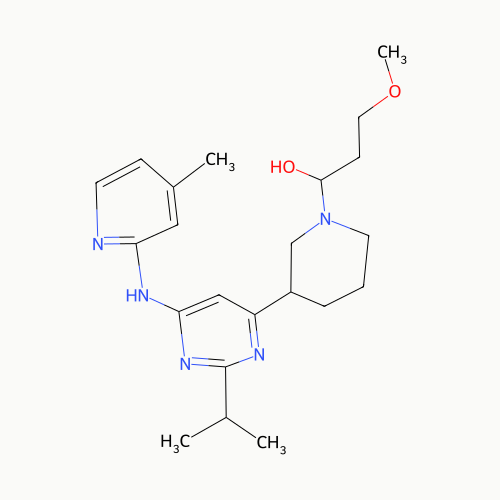 COCCC(O)N1CCCC(c2cc(Nc3cc(C)ccn3)nc(C(C)C)n2)C1